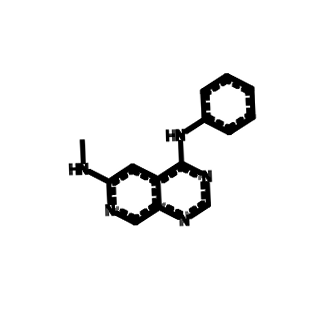 CNc1cc2c(Nc3ccccc3)ncnc2cn1